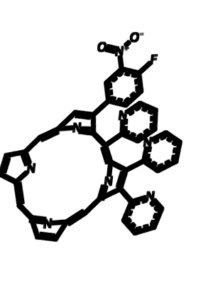 O=[N+]([O-])c1cc(C2=CC3=CC4=NC(=CC5=NC(=CC6=NC(=C(c7ccccn7)C2=N3)C(c2ccccn2)=C6c2ccccn2)C=C5)C=C4)ccc1F